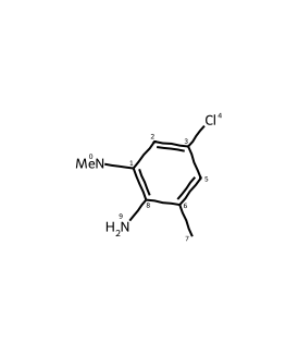 CNc1cc(Cl)cc(C)c1N